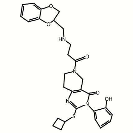 O=C(CCNCC1COc2ccccc2O1)N1CCc2nc(SC3CCC3)n(-c3ccccc3O)c(=O)c2C1